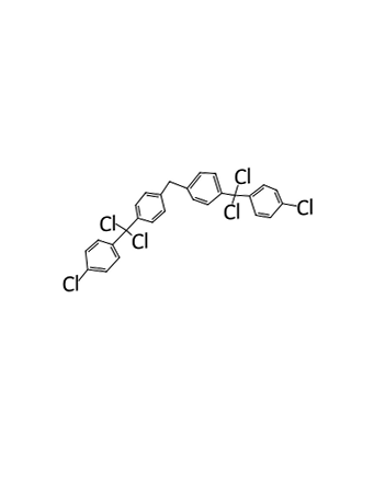 Clc1ccc(C(Cl)(Cl)c2ccc(Cc3ccc(C(Cl)(Cl)c4ccc(Cl)cc4)cc3)cc2)cc1